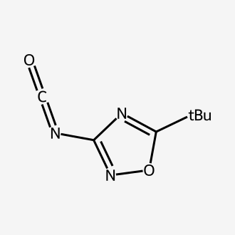 CC(C)(C)c1nc(N=C=O)no1